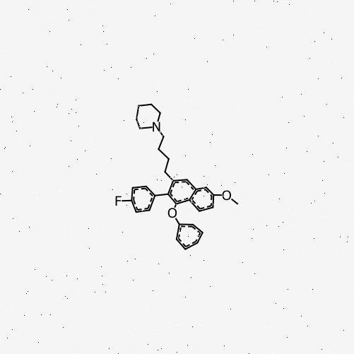 COc1ccc2c(Oc3ccccc3)c(-c3ccc(F)cc3)c(CCCCN3CCCCC3)cc2c1